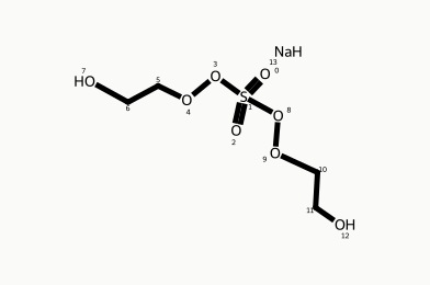 O=S(=O)(OOCCO)OOCCO.[NaH]